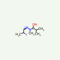 CC(I)/C=N\N(C)B(O)C(C)C